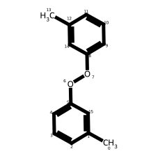 Cc1cccc(OOc2cccc(C)c2)c1